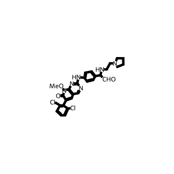 COn1c(=O)c(-c2c(Cl)cccc2Cl)cc2cnc(Nc3ccc(C(C=O)NCCN4CCCC4)cc3)nc21